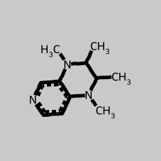 CC1C(C)N(C)c2cnccc2N1C